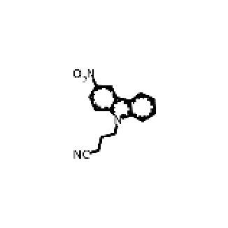 N#CCCCn1c2ccccc2c2cc([N+](=O)[O-])ccc21